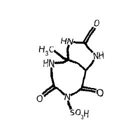 CC12NC(=O)NC1C(=O)N(S(=O)(=O)O)C(=O)N2